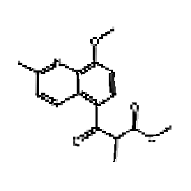 COC(=O)C(C)C(=O)c1ccc(OC)c2nc(C)ccc12